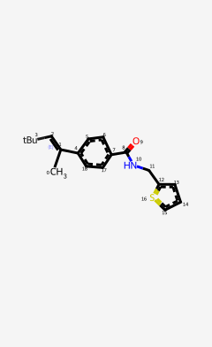 C/C(=C\C(C)(C)C)c1ccc(C(=O)NCc2cccs2)cc1